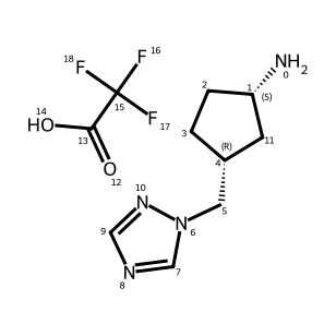 N[C@H]1CC[C@@H](Cn2cncn2)C1.O=C(O)C(F)(F)F